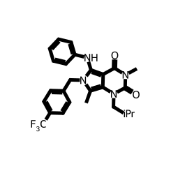 Cc1c2c(c(Nc3ccccc3)n1Cc1ccc(C(F)(F)F)cc1)c(=O)n(C)c(=O)n2CC(C)C